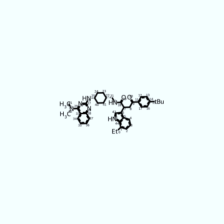 CCc1cccc2c(C(CC(=O)c3ccc(C(C)(C)C)cc3)C(=O)NC[C@H]3CC[C@@H](Nc4nc(N(C)C)c5ccccc5n4)CC3)c[nH]c12